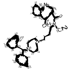 N#CN(CCCCN1CCN(C(c2ccccc2)c2ccccc2)CC1)C(=O)c1cnc2ccccc2c1O